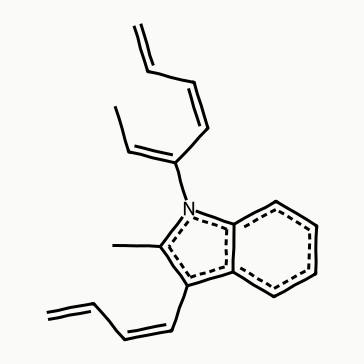 C=C/C=C\C(=C/C)n1c(C)c(/C=C\C=C)c2ccccc21